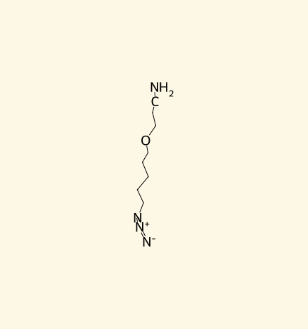 [N-]=[N+]=NCCCCCOCCCN